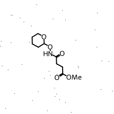 COC(=O)CCC(=O)NOC1CCCCO1